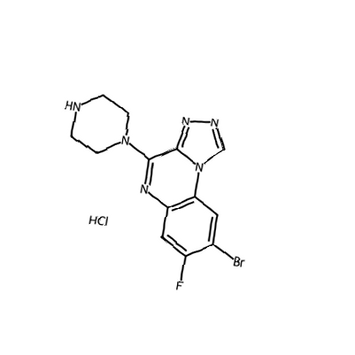 Cl.Fc1cc2nc(N3CCNCC3)c3nncn3c2cc1Br